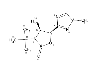 CC1C=NC([C@H]2OC(=O)N(C(C)(C)C)[C@H]2C)=N1